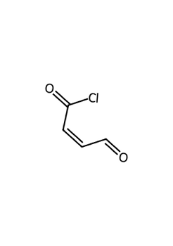 O=C/C=C\C(=O)Cl